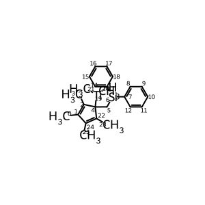 CC1=C(C)[C](C[SiH](c2ccccc2)c2ccccc2)([Ti]([CH3])[CH3])C(C)=C1C